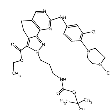 CCOC(=O)c1c2c(nn1CCCNC(=O)OC(C)(C)C)-c1nc(Nc3ccc(N4CCN(C)CC4)c(Cl)c3)ncc1CC2